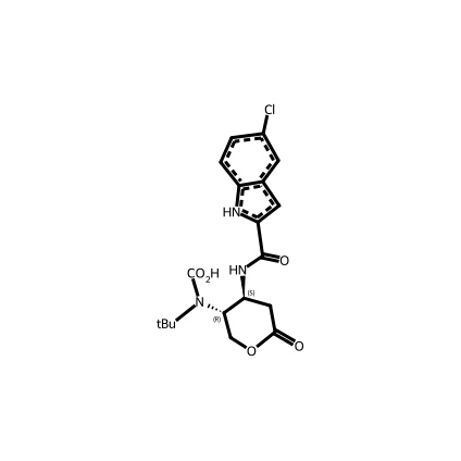 CC(C)(C)N(C(=O)O)[C@H]1COC(=O)C[C@@H]1NC(=O)c1cc2cc(Cl)ccc2[nH]1